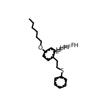 CCCCCCOc1ccc(CCSc2ccccc2)cc1.F.F.F.F.F